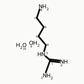 N=C(N)NCCCCN.O.O